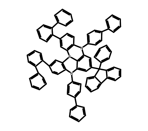 c1ccc(-c2ccc(N3c4ccc(-c5ccccc5-c5ccccc5)cc4B4c5cc(-c6ccccc6-c6ccccc6)ccc5N(c5ccc(-c6ccccc6)cc5)c5cc(C6(c7ccccc7)c7ccccc7-c7ccccc76)cc3c54)cc2)cc1